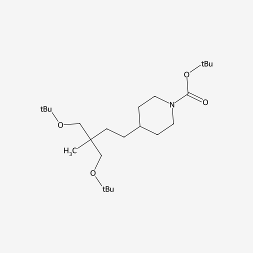 CC(CCC1CCN(C(=O)OC(C)(C)C)CC1)(COC(C)(C)C)COC(C)(C)C